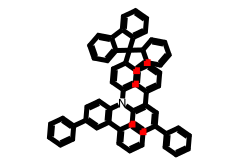 C1=CC2=C3C=C(N(c4ccc(-c5ccccc5)cc4-c4ccccc4)c4ccc(-c5ccccc5)cc4-c4ccccc4)C=CC3C3(c4ccccc4-c4ccccc43)C2C=C1